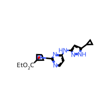 CCOC(=O)C12CC(C1)N(c1nccc(Nc3cc(C4CC4)[nH]n3)n1)C2